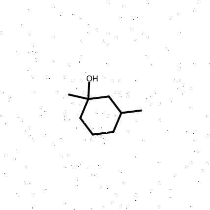 CC1CCCC(C)(O)C1